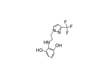 Oc1cccc(O)c1NCCn1ccc(C(F)(F)F)n1